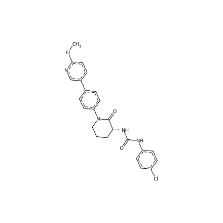 COc1ccc(-c2ccc(N3CCC[C@@H](NC(=O)Nc4ccc(Cl)cc4)C3=O)cc2)cn1